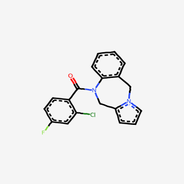 O=C(c1ccc(F)cc1Cl)N1Cc2cccn2Cc2ccccc21